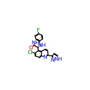 NC(=O)C(Nc1ccc(F)cc1)c1c(Cl)ccc2nc(-c3cc[nH]n3)ccc12